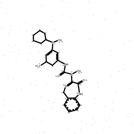 CC1C=C(N(C)C2CCCCC2)C=C(NC(=O)N(C)C2=NCc3ccccc3NC2=O)C1